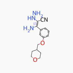 N#C/C(NN)=C(/N)c1cccc(OCC2CCOCC2)c1